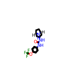 O=C(Nc1ccc(OC(F)(F)F)cc1)NC1C[C@H]2CC[C@@H](C1)N2